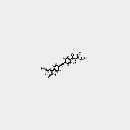 CC[C@@H](C=O)NC(=O)c1ccc(C#Cc2ccc(/C(=C/C=N)NC)nc2)cc1